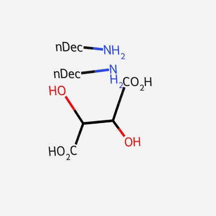 CCCCCCCCCCN.CCCCCCCCCCN.O=C(O)C(O)C(O)C(=O)O